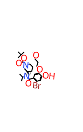 COCCCOc1cc(C(=O)N(C(C)C)[C@@H]2CCCN(C(=O)OC(C)(C)C)C2)c(Br)cc1O